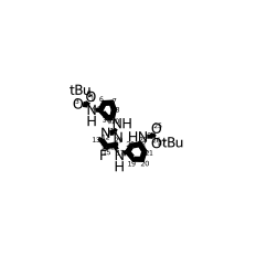 CC(C)(C)OC(=O)Nc1cccc(Nc2ncc(F)c(Nc3cccc(NC(=O)OC(C)(C)C)c3)n2)c1